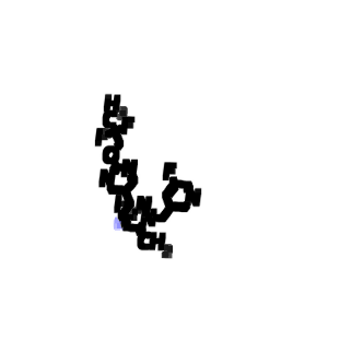 C=C(/C=C\Cc1cnc(OCC(C)(F)F)nc1)N(N)Cc1cncc(F)c1